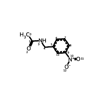 CC(=O)NCc1cccc([N+](=O)[O-])c1